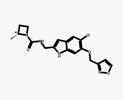 C[C@@H]1CCN1C(=O)NCc1cc2cc(Cl)c(OCc3ccon3)cc2[nH]1